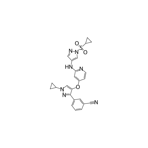 N#Cc1cccc(-c2nn(C3CC3)cc2Oc2ccnc(Nc3cnn(S(=O)(=O)C4CC4)c3)c2)c1